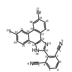 N#Cc1cccc(C#N)c1-c1nc2c3ccc(Br)cc3c3cc(I)ccc3c2[nH]1